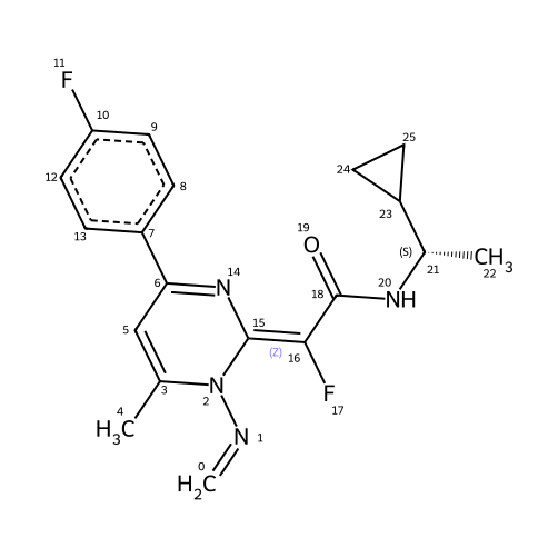 C=NN1C(C)=CC(c2ccc(F)cc2)=N/C1=C(/F)C(=O)N[C@@H](C)C1CC1